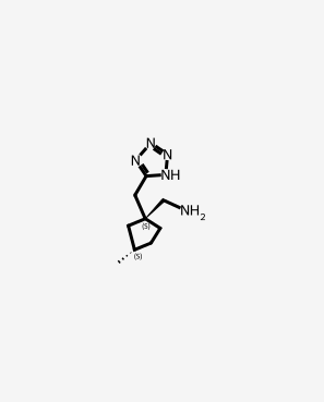 C[C@H]1CC[C@@](CN)(Cc2nnn[nH]2)C1